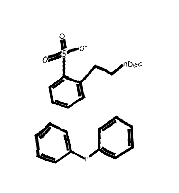 CCCCCCCCCCCCc1ccccc1S(=O)(=O)[O-].c1ccc([I+]c2ccccc2)cc1